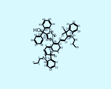 CCCN1/C(=C/C=C2\CCCC(/C=C/C3=[N+](CCC)c4ccccc4C3(C)C)=C2n2cc(C(O)(c3ccccc3)c3ccccc3)nn2)C(C)(C)c2ccccc21